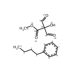 CCCCc1ccccc1.COC(=O)C(O)(C=O)C=O